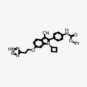 CC(C)OC(=O)Nc1ccc(-c2c(C#N)c3ccc(OCCc4nn[nH]n4)cc3n2C2CCC2)cc1